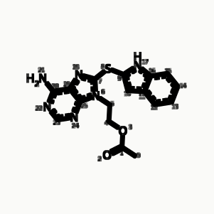 CC(=O)OCCn1c(Sc2cc3ccccc3[nH]2)nc2c(N)ncnc21